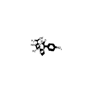 NC(=O)C(c1ccc([N+](=O)[O-])cc1)n1ccnc1[C@@H]1O[C@H](C(N)O)[C@@H](O)[C@H]1O